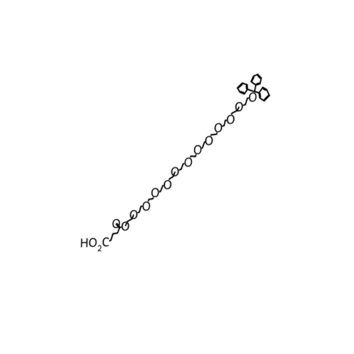 O=C(O)CCCC(=O)OCCOCCOCCOCCOCCOCCOCCOCCOCCOCCOCCOCCOC(c1ccccc1)(c1ccccc1)c1ccccc1